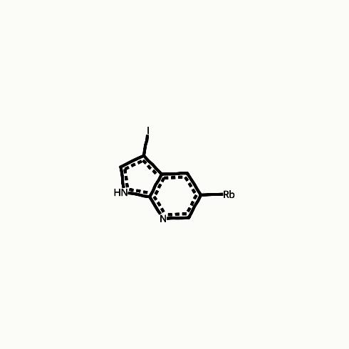 [Rb][c]1cnc2[nH]cc(I)c2c1